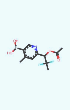 CC(=O)OC(c1cc(C)c(B(O)O)cn1)C(C)(F)F